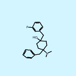 CN(C)C1(Cc2ccccc2)CCC(O)(Cc2cccc(F)c2)CC1